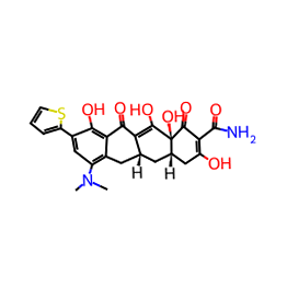 CN(C)c1cc(-c2cccs2)c(O)c2c1C[C@H]1C[C@H]3CC(O)=C(C(N)=O)C(=O)[C@@]3(O)C(O)=C1C2=O